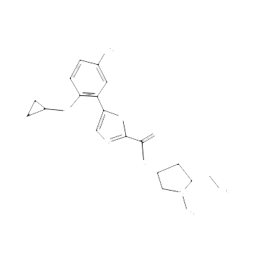 COC[C@H]1C[C@@H](NC(=O)c2ncc(-c3cc(C#N)ccc3OC3CC3)o2)CN1C#N